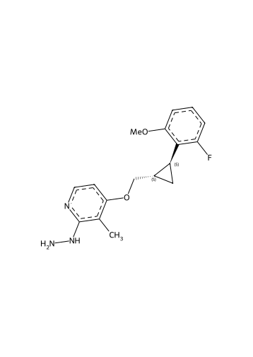 COc1cccc(F)c1[C@H]1C[C@@H]1COc1ccnc(NN)c1C